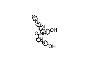 O=C(Nc1cc2sc(N3CCOCC3)nc2nc1N1CCC[C@@H](O)C1)c1cccc(N2CCC(O)CC2)n1